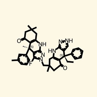 CC[C@@]1(c2ccccc2)C2=C(CC(C)(Cn3nc4c(c3F)[C@@](C)(c3cccc(C)c3)C3=C(CC(C)(C)CC3=O)N4)CC2=O)Nc2n[nH]cc21